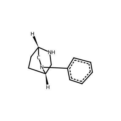 c1ccc(N2C[C@@H]3CC[C@H]2CN3)cc1